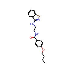 CCCCOc1ccc(C(=O)NCCNc2nsc3ccccc23)cc1